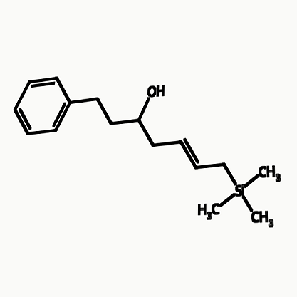 C[Si](C)(C)CC=CCC(O)CCc1ccccc1